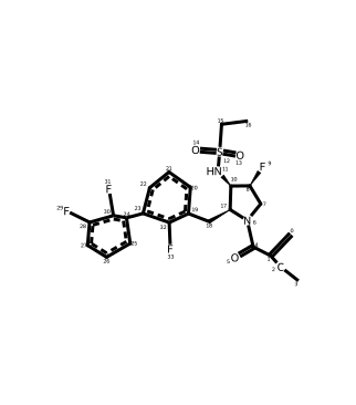 C=C(CC)C(=O)N1C[C@H](F)[C@H](NS(=O)(=O)CC)[C@@H]1Cc1cccc(-c2cccc(F)c2F)c1F